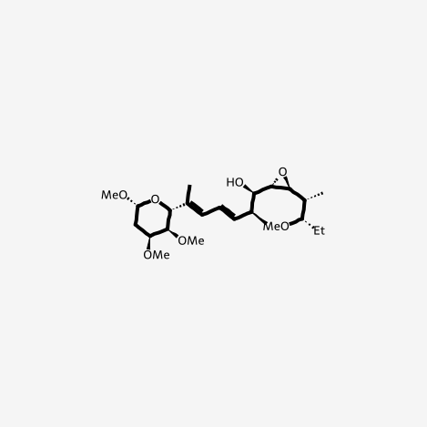 CC[C@H](OC)[C@@H](C)[C@@H]1O[C@H]1[C@H](O)[C@@H](C)/C=C/C=C(\C)[C@H]1O[C@@H](OC)C[C@H](OC)[C@@H]1OC